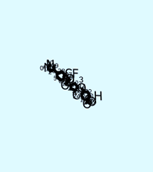 Cn1cc(-c2ccc(S(=O)(=O)[C@@H]3C[C@H](OC4CCS(=O)(=O)CC4)[C@@H](C(=O)O)C3)c(C(F)(F)F)c2)cn1